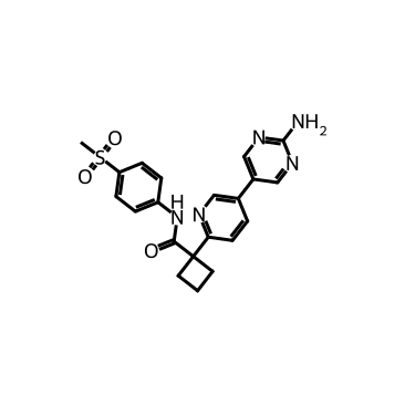 CS(=O)(=O)c1ccc(NC(=O)C2(c3ccc(-c4cnc(N)nc4)cn3)CCC2)cc1